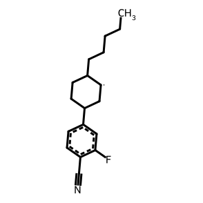 CCCCCC1[CH]CC(c2ccc(C#N)c(F)c2)CC1